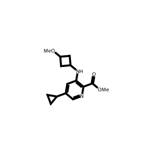 COC(=O)c1ncc(C2CC2)cc1NC1CC(OC)C1